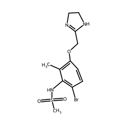 Cc1c(OCC2=NCCN2)ccc(Br)c1NS(C)(=O)=O